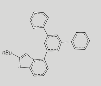 CCCCC1=Cc2c(cccc2-c2cc(-c3ccccc3)cc(-c3ccccc3)c2)[CH]1